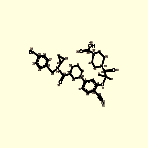 CC(C)(Oc1cc(N2CCCC(C(=O)N(Cc3ccc(Br)cc3)C3CC3)C2)ccc1C#N)C(=O)N1CCN(C(=O)O)CC1